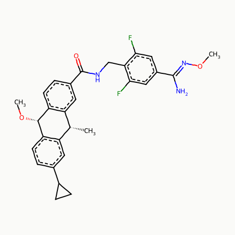 CON=C(N)c1cc(F)c(CNC(=O)c2ccc3c(c2)[C@H](C)c2cc(C4CC4)ccc2[C@@H]3OC)c(F)c1